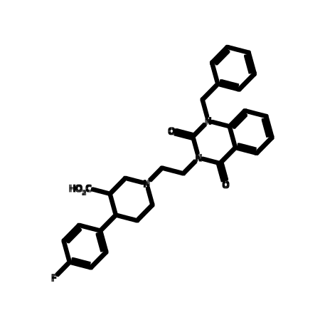 O=C(O)C1CN(CCn2c(=O)c3ccccc3n(Cc3ccccc3)c2=O)CCC1c1ccc(F)cc1